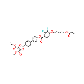 C=CC(=O)OCCCCCOc1ccc(C(=O)Oc2ccc(-c3ccc(C4O[C@@H](C(=O)OCC)[C@H](C(=O)OCC)O4)cc3)cc2)c(F)c1F